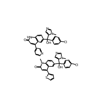 Cn1cncc1C(O)(c1ccc(Cl)cc1)c1ccc2[nH]c(=O)cc(-c3cccnc3)c2c1.Cn1cncc1C(O)(c1ccc(Cl)cc1)c1ccc2c(c1)c(-c1cccs1)cc(=O)n2C